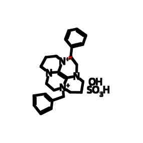 O=S(=O)(O)O.c1ccc(C[N+]23CCCN4CC[N+]5(Cc6ccccc6)CCCN(CC2)C5=C43)cc1